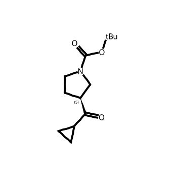 CC(C)(C)OC(=O)N1CC[C@H](C(=O)C2CC2)C1